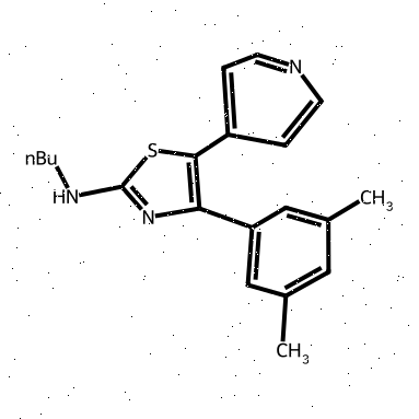 CCCCNc1nc(-c2cc(C)cc(C)c2)c(-c2ccncc2)s1